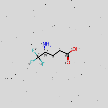 N[C@@H](CCC(=O)O)C(F)(F)F